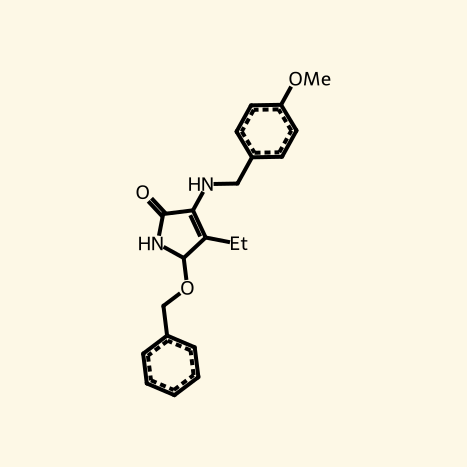 CCC1=C(NCc2ccc(OC)cc2)C(=O)NC1OCc1ccccc1